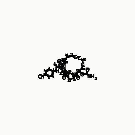 CN(Cc1ccc(Cl)cc1)S(=O)(=O)C12CC1C=CCCCCCC(OC(N)=O)C(=O)N1CCCC1(C(N)=O)C(=O)N2